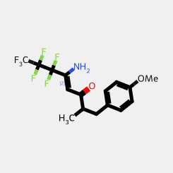 COc1ccc(C[C](C)C(=O)/C=C(\N)C(F)(F)C(F)(F)C(F)(F)F)cc1